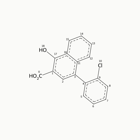 O=C(O)c1cc(-c2ccccc2Cl)c2ccccc2c1O